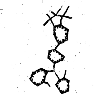 Cc1ccccc1N(c1ccc(-c2ccc3c(c2)C(C)(C)C(F)(F)C3(C)C)cc1)c1ccccc1C